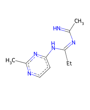 CC/C(=N/C(C)=N)Nc1ccnc(C)n1